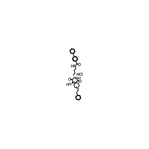 CCCN1C(=O)[C@H](CCCCNC(=O)c2ccc(-c3ccccc3)cc2)NC(=O)C12CCN(CCc1ccccc1)CC2.Cl